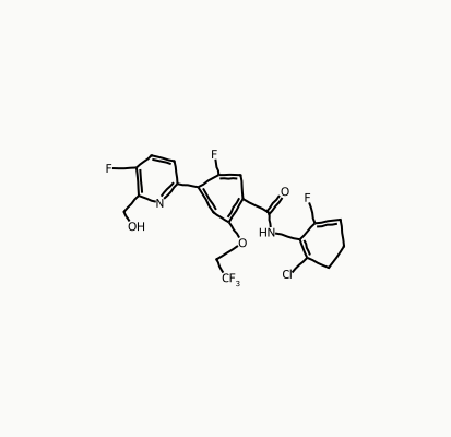 O=C(NC1=C(Cl)CCC=C1F)c1cc(F)c(-c2ccc(F)c(CO)n2)cc1OCC(F)(F)F